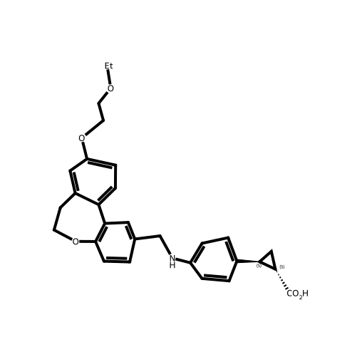 CCOCCOc1ccc2c(c1)CCOc1ccc(CNc3ccc([C@H]4C[C@@H]4C(=O)O)cc3)cc1-2